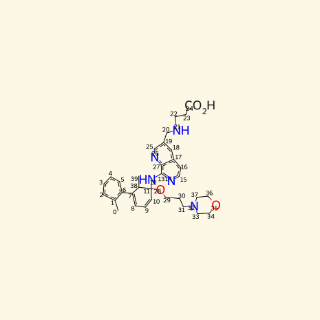 Cc1ccccc1C1=CC=CC(Nc2nccc3cc(CNCCC(=O)O)cnc23)(OCCCN2CCOCC2)C1C